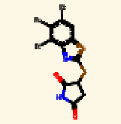 CCc1cc2sc(SC3CC(=O)NC3=O)nc2c(CC)c1CC